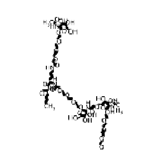 CCCCC[C@@H](C=O)NC(=O)[C@H](CCCCNC(=O)COCCOCCOCCO[C@@H]1O[C@H](CO)[C@H](O)[C@H](O)[C@H]1NC(C)=O)NC(=O)COCCOCCOCCO[C@@H]1O[C@H](CO)[C@H](O)[C@H](O)[C@H]1NC(=O)COC[C@H]1O[C@@H](OCCOCCOCCOCC=O)[C@H](NC(C)=O)[C@@H](O)[C@H]1O